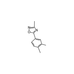 Cc1noc(-c2ccc(C)c(C)c2)n1